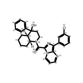 O=C(c1nc(-c2cccc(Cl)c2)c2ncccn12)N1CCC(O)(c2ccccc2)[C@H]2CCCC[C@H]21